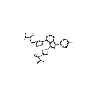 C=C(F)C(=O)N1CC(c2nn(-c3ccc(C)cc3)c3nccc(-c4cnn(CC(=O)N(C)C)c4)c23)C1